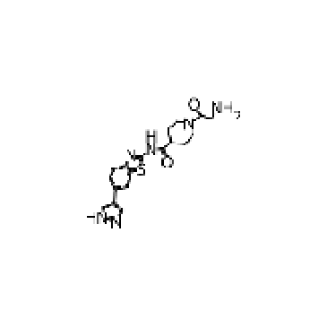 NCC(=O)N1CCC(C(=O)Nc2nc3ccc(-c4cn[nH]c4)cc3s2)CC1